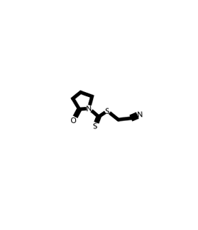 N#CCSC(=S)N1CCCC1=O